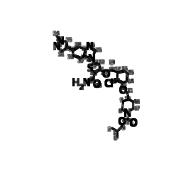 CC(C)COC(=O)N1CCC(COc2cccc([C@@H](C)Oc3cc(-n4cnc5cc(-c6cnn(C)c6)ccc54)sc3C(N)=O)c2Cl)CC1